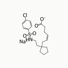 O=C([O-])CC/C=C\CC1(CCNS(=O)(=O)c2ccc(Cl)cc2)CCCC1.[Na+]